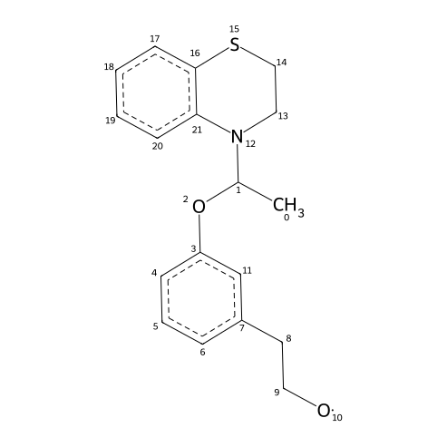 CC(Oc1cccc(CC[O])c1)N1CCSc2ccccc21